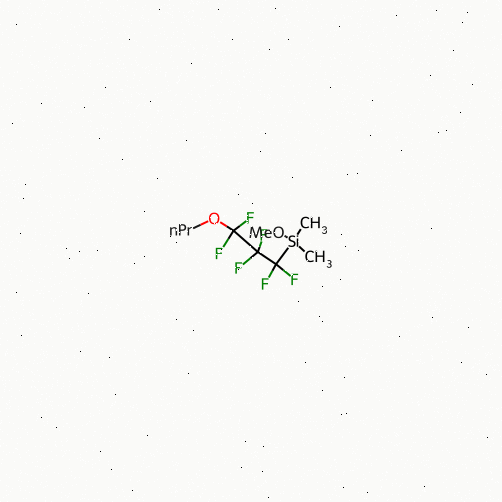 CCCOC(F)(F)C(F)(F)C(F)(F)[Si](C)(C)OC